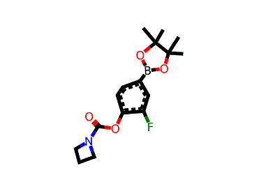 CC1(C)OB(c2ccc(OC(=O)N3CCC3)c(F)c2)OC1(C)C